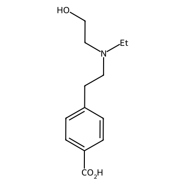 CCN(CCO)CCc1ccc(C(=O)O)cc1